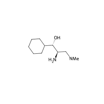 CNC[C@@H](N)[C@@H](O)C1CCCCC1